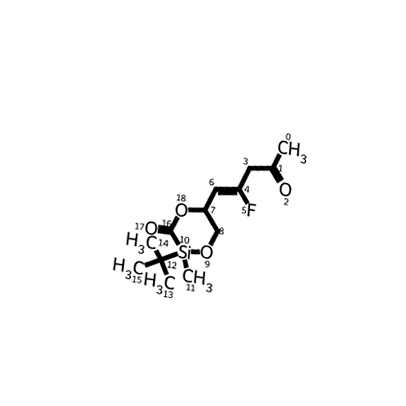 CC(=O)CC(F)=CC1CO[Si](C)(C(C)(C)C)C(=O)O1